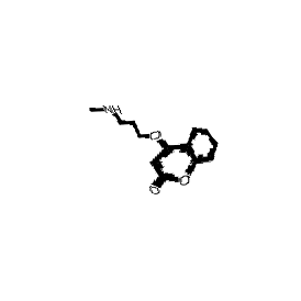 CNCCCOc1cc(=O)oc2ccccc12